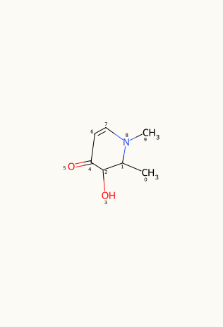 CC1C(O)C(=O)C=CN1C